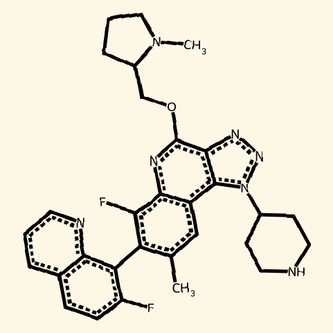 Cc1cc2c(nc(OCC3CCCN3C)c3nnn(C4CCNCC4)c32)c(F)c1-c1c(F)ccc2cccnc12